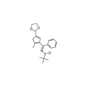 CC1=C(/C(=N/[S+]([O-])C(C)(C)C)c2ccccc2)C=C(C2OCCO2)C1